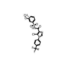 COc1cccc(S(=O)(=O)NC(=O)c2ncn(-c3ccc(C(F)(F)F)cc3)c2Cl)c1